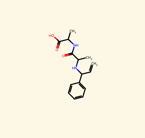 C=CC(NC(C)C(=O)NC(C)C(=O)O)c1ccccc1